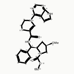 CO[C@@H]1C[C@H](C(NC(=O)C2=CN(c3ncnc4[nH]ccc34)CCS2)c2ccccc2)N(C(=O)OC(C)(C)C)C1